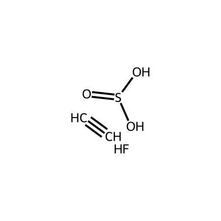 C#C.F.O=S(O)O